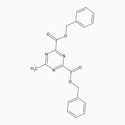 Cc1nc(C(=O)OCc2ccccc2)nc(C(=O)OCc2ccccc2)n1